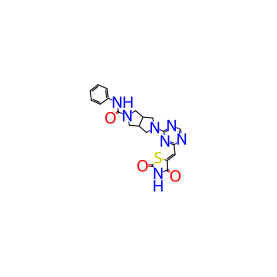 O=C1NC(=O)C(=Cc2ncnc(N3CC4CN(C(=O)Nc5ccccc5)CC4C3)n2)S1